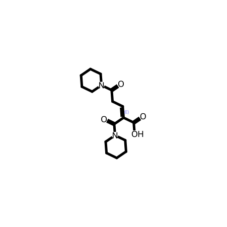 O=C(O)/C(=C/CC(=O)N1CCCCC1)C(=O)N1CCCCC1